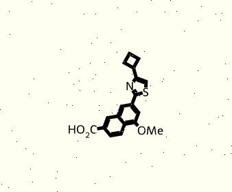 COc1cc(-c2nc(C3CCC3)cs2)cc2cc(C(=O)O)ccc12